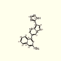 CC(C)(C)c1cc(-c2cnc3c(-c4nnn[nH]4)cnn3c2)c2ccccc2c1